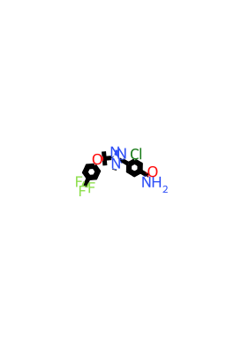 Cn1c(-c2ccc(C(N)=O)cc2Cl)nnc1C(C)(C)Oc1ccc(C(F)(F)F)cc1